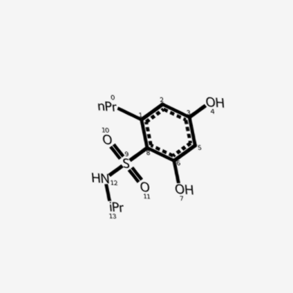 CCCc1cc(O)cc(O)c1S(=O)(=O)NC(C)C